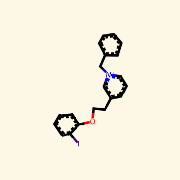 Ic1ccccc1OCCc1ccc[n+](Cc2ccccc2)c1